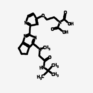 CN(CC(=O)NC(C)(C)C)c1nc(-c2cc(OCCN(C(=O)O)C(=O)O)ccn2)nc2c1CCC2